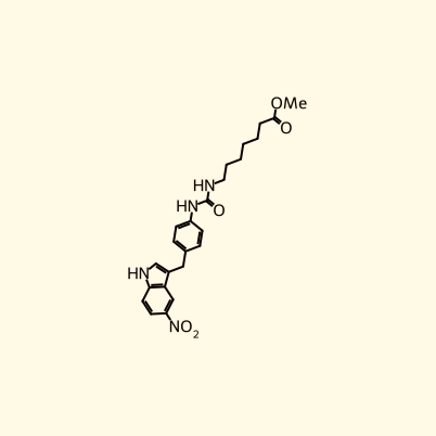 COC(=O)CCCCCCNC(=O)Nc1ccc(Cc2c[nH]c3ccc([N+](=O)[O-])cc23)cc1